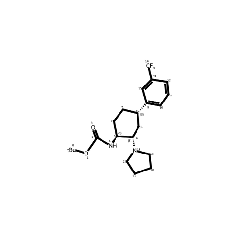 CC(C)(C)OC(=O)N[C@H]1CC[C@H](c2cccc(C(F)(F)F)c2)C[C@@H]1N1CCCC1